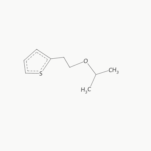 CC(C)OCCc1cccs1